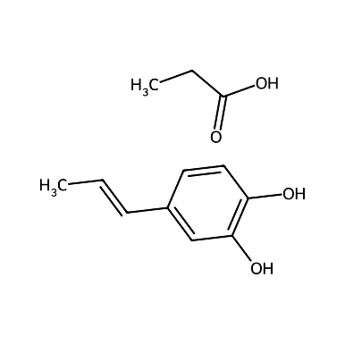 CC=Cc1ccc(O)c(O)c1.CCC(=O)O